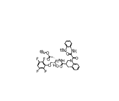 CC(C)(C)OC(=O)C[C@H](NC(=O)C1Cc2ccccc2N(C(=O)C(=O)Nc2ccccc2C(C)(C)C)C1)C(O)COc1c(F)c(F)cc(F)c1F